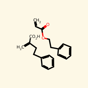 C=C(CCc1ccccc1)C(=O)O.C=CC(=O)OCCc1ccccc1